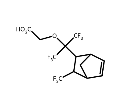 O=C(O)COC(C1C2C=CC(C2)C1C(F)(F)F)(C(F)(F)F)C(F)(F)F